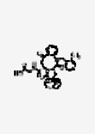 CC(=O)N1[C@H](CC23CC4CC(CC(C4)C2)C3)C(=O)N(Cc2ccccc2C)c2ccccc2C(=O)C[C@H]1C(=O)NCC(=O)O